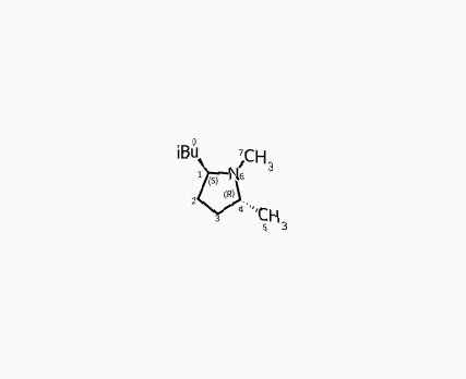 CCC(C)[C@@H]1CC[C@@H](C)N1C